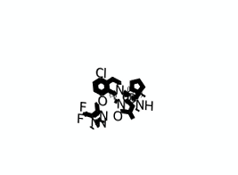 CNC(=O)[C@@]1(C)CCC[C@H]1C(=O)N1CCc2c(Cl)ccc(OCc3nnn(C)c3C(F)F)c2[C@H]1CN1CCC(C)C1=O